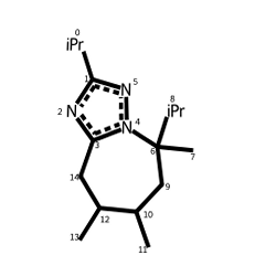 CC(C)c1nc2n(n1)C(C)(C(C)C)CC(C)C(C)C2